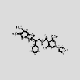 COc1cc(-n2cnnc2)cc(Cl)c1C(=O)NC[C@@H](c1ccccc1)c1nc2cc(C)c(C)cc2[nH]1